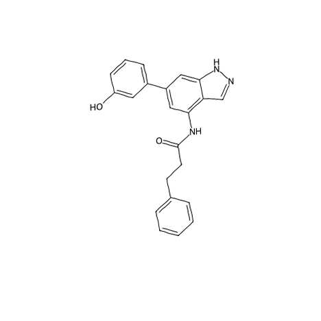 O=C(CCc1ccccc1)Nc1cc(-c2cccc(O)c2)cc2[nH]ncc12